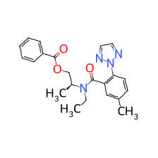 CCN(C(=O)c1cc(C)ccc1-n1nccn1)[C@@H](C)COC(=O)c1ccccc1